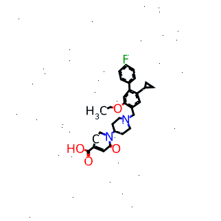 CCOc1cc(-c2ccc(F)cc2)c(C2CC2)cc1CN1CCC(N2CCC(C(=O)O)=CC2=O)CC1